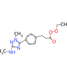 CCOOC(=O)CCc1ccc(-c2nc(NC)nn2C)cc1